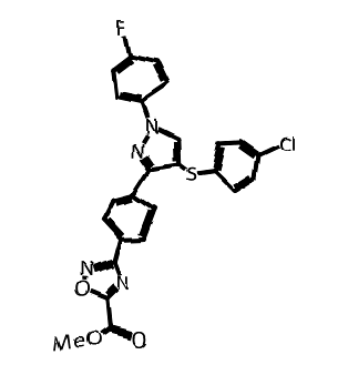 COC(=O)c1nc(-c2ccc(-c3nn(-c4ccc(F)cc4)cc3Sc3ccc(Cl)cc3)cc2)no1